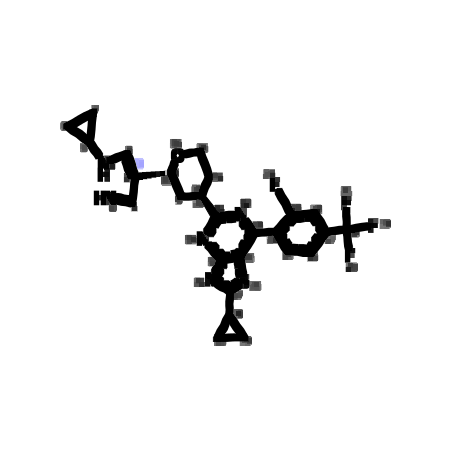 N=C/C(=C\NC1CC1)[C@H]1C[C@H](c2nc(-c3ccc(C(F)(F)F)cc3F)c3sc(C4CC4)nc3n2)CCO1